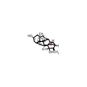 C=C1[C@H]2CC3C4N5C[C@]6(C)C[C@H](O)CC47[C@H]([C@H]2O)C3(C[C@@H]5[C@@H]76)[C@@H]1O